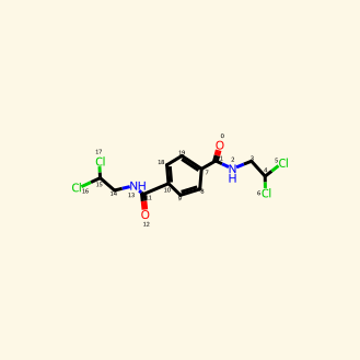 O=C(NCC(Cl)Cl)c1ccc(C(=O)NCC(Cl)Cl)cc1